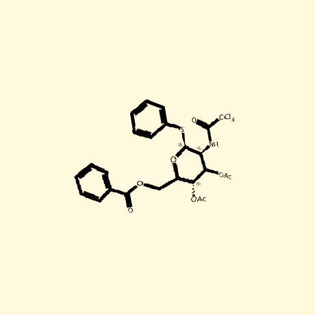 CC(=O)OC1[C@H](OC(C)=O)C(COC(=O)c2ccccc2)O[C@@H](Sc2ccccc2)[C@H]1NC(=O)C(Cl)(Cl)Cl